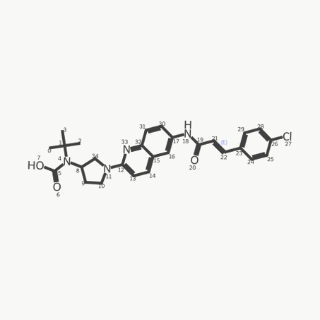 CC(C)(C)N(C(=O)O)C1CCN(c2ccc3cc(NC(=O)/C=C/c4ccc(Cl)cc4)ccc3n2)C1